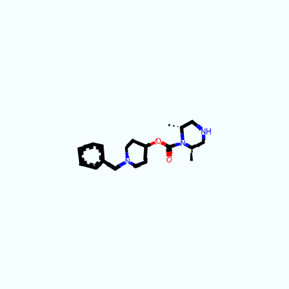 C[C@@H]1CNC[C@@H](C)N1C(=O)OC1CCN(Cc2ccccc2)CC1